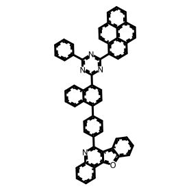 c1ccc(-c2nc(-c3ccc(-c4ccc(-c5nc6ccccc6c6oc7ccccc7c56)cc4)c4ccccc34)nc(-c3ccc4ccc5cccc6ccc3c4c56)n2)cc1